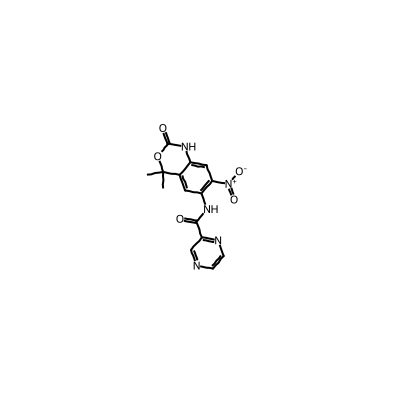 CC1(C)OC(=O)Nc2cc([N+](=O)[O-])c(NC(=O)c3cnccn3)cc21